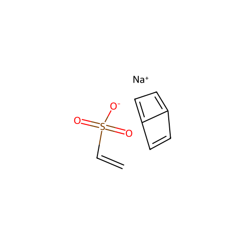 C=CS(=O)(=O)[O-].[Na+].c1cc2ccc1-2